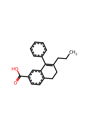 CCCC1=C(c2ccccc2)c2cc(C(=O)O)ccc2CC1